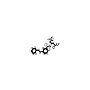 C[N+](C)(C)CC(CC(=O)[O-])NC(=O)c1cccc(CCc2ccccc2)c1